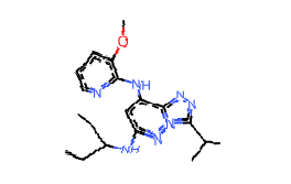 CCC(CC)Nc1cc(Nc2ncccc2OC)c2nnc(C(C)C)n2n1